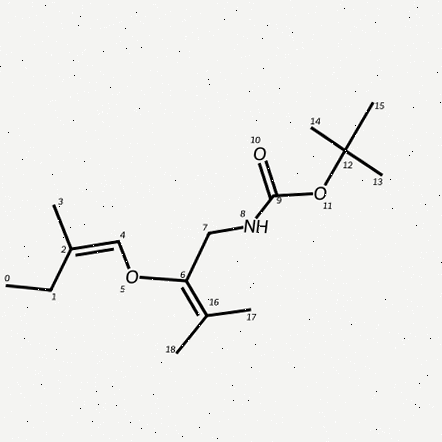 CC/C(C)=C\OC(CNC(=O)OC(C)(C)C)=C(C)C